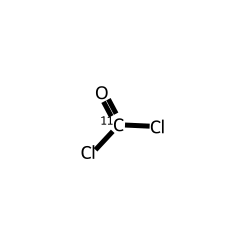 O=[11C](Cl)Cl